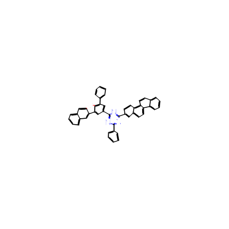 c1ccc(-c2nc(-c3ccc4c(ccc5c6ccccc6ccc45)c3)nc(-c3cc(-c4ccccc4)c4oc5cc6ccccc6cc5c4c3)n2)cc1